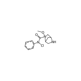 CO[N+]1(C(=O)N(Cl)c2ccccc2)CC2CC1CN2